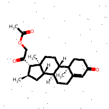 CC(=O)OCC(=O)[C@H]1[C@H](C)C[C@H]2[C@@H]3CCC4=CC(=O)CC[C@]4(C)[C@H]3CC[C@@]21C